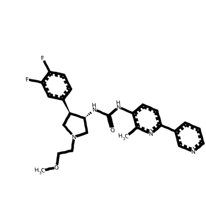 COCCN1C[C@@H](NC(=O)Nc2ccc(-c3cccnc3)nc2C)[C@H](c2ccc(F)c(F)c2)C1